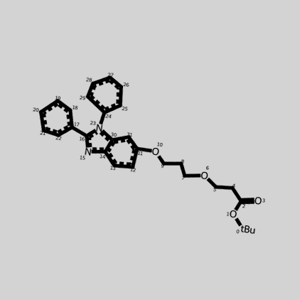 CC(C)(C)OC(=O)CCOCCCOc1ccc2nc(-c3ccccc3)n(-c3ccccc3)c2c1